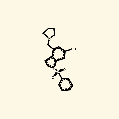 O=S(=O)(c1ccccc1)n1ccc2c(CN3CCCC3)cc(O)cc21